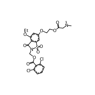 CCOc1cc(OCCOC(=O)CN(C)C)cc2c1C(=O)N(COC(=O)c1c(Cl)cccc1Cl)S2(=O)=O